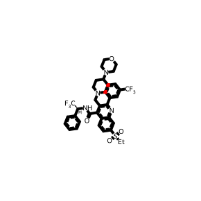 CCS(=O)(=O)c1ccc2c(C(=O)N[C@H](c3ccccc3)C(F)(F)F)c(CN3CCC(N4CCOCC4)CC3)c(-c3cccc(C(F)(F)F)c3)nc2c1